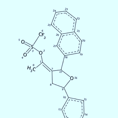 CC(OS(=O)(=O)C(F)(F)F)=C1CC(c2ccccc2)OC1c1ccc2ccccc2c1